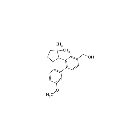 COc1cccc(-c2ccc(CO)cc2C2CCCC2(C)C)c1